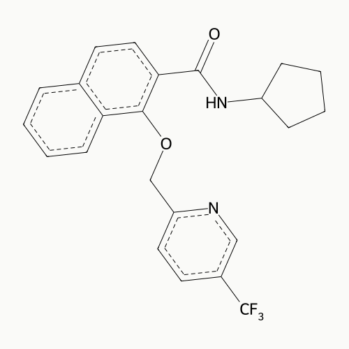 O=C(NC1CCCC1)c1ccc2ccccc2c1OCc1ccc(C(F)(F)F)cn1